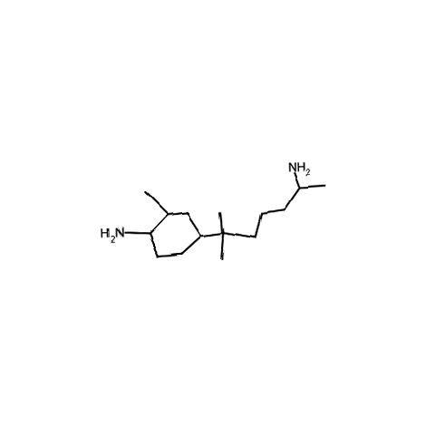 CC(N)CCCC(C)(C)C1CCC(N)C(C)C1